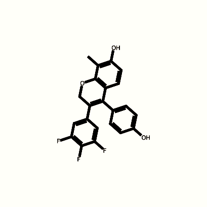 Cc1c(O)ccc2c1OCC(c1cc(F)c(F)c(F)c1)=C2c1ccc(O)cc1